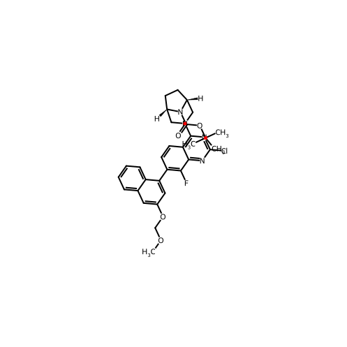 COCOc1cc(-c2ccc3c(N4C[C@H]5CC[C@@H](C4)N5C(=O)OC(C)(C)C)nc(Cl)nc3c2F)c2ccccc2c1